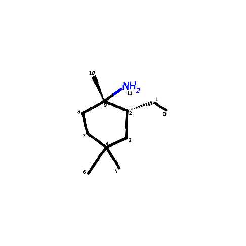 CC[C@@H]1CC(C)(C)CC[C@]1(C)N